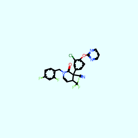 N#CC1(c2ccc(Oc3ncccn3)c(Cl)c2)C(=O)N(Cc2ccc(F)cc2F)C=CC1C(F)(F)F